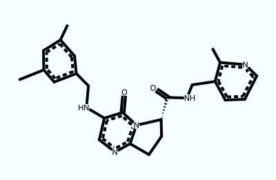 Cc1cc(C)cc(CNc2cnc3n(c2=O)[C@H](C(=O)NCc2cccnc2C)CC3)c1